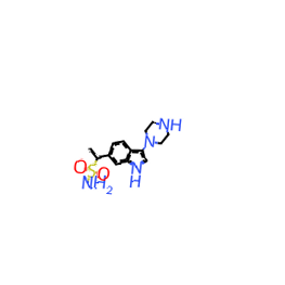 CC(c1ccc2c(N3CCNCC3)c[nH]c2c1)S(N)(=O)=O